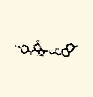 CC(=O)N1CCC(Nc2nc(C(F)(F)F)nc3c(NC[C@H](O)CN4CCc5cc(F)ccc5C4)n[nH]c23)CC1